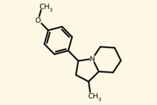 COc1ccc(C2CC(C)C3CCCCN23)cc1